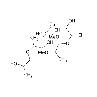 CC(=O)O.CC(O)COC(C)CO.COC.COC(C)COC(C)CO